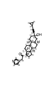 C[C@]12CC[C@H]3[C@@H](CC[C@@H]4C[C@@](O)(C#CC5CC5)CC[C@@H]43)[C@@H]1CC[C@@H]2C(=O)Cn1ccnc1